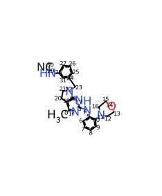 Cc1nc(Nc2ccccc2N2CCOCC2)nc2c1CCN2Cc1cccc(NC#N)c1